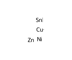 [Cu].[Ni].[Sn].[Zn]